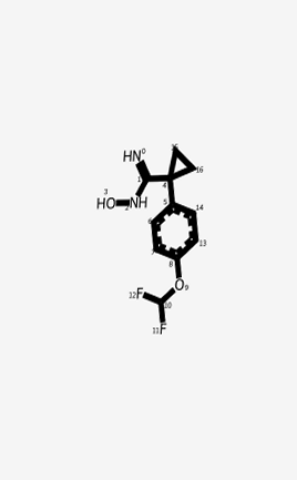 N=C(NO)C1(c2ccc(OC(F)F)cc2)CC1